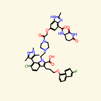 Cc1nc2c(C(=O)NC3CCC(=O)NC3=O)cc(OCC(=O)N3CCN(CCn4c(C(=O)O)c(CCCOc5cccc6cc(F)ccc56)c5ccc(Cl)c(-c6c(C)nn(C)c6C)c54)CC3)cc2[nH]1